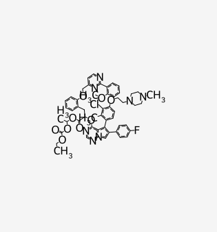 CCOC(=O)OC(C)OC(=O)C(Cc1ccccc1OCc1ccnc(-c2ccccc2OC)n1)Oc1ncnn2cc(-c3ccc(F)cc3)c(-c3ccc(OCCN4CCN(C)CC4)c(Cl)c3C)c12